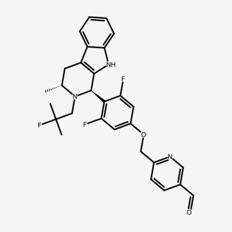 C[C@@H]1Cc2c([nH]c3ccccc23)[C@@H](c2c(F)cc(OCc3ccc(C=O)cn3)cc2F)N1CC(C)(C)F